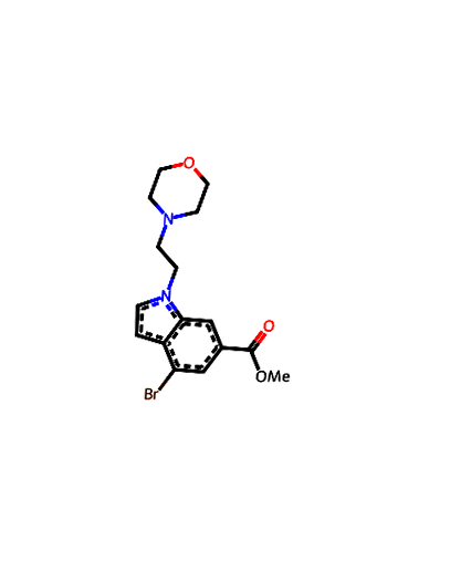 COC(=O)c1cc(Br)c2ccn(CCN3CCOCC3)c2c1